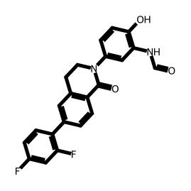 O=CNc1cc(N2CCc3cc(-c4ccc(F)cc4F)ccc3C2=O)ccc1O